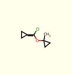 CC1(OC(Cl)=C2CC2)CC1